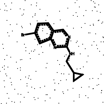 Brc1ccc2cnc(NCC3CC3)nc2c1